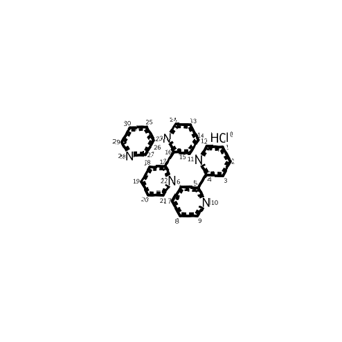 Cl.c1ccc(-c2ccccn2)nc1.c1ccc(-c2ccccn2)nc1.c1ccncc1